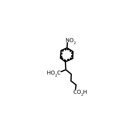 O=C(O)CCCC(C(=O)O)c1ccc([N+](=O)[O-])cc1